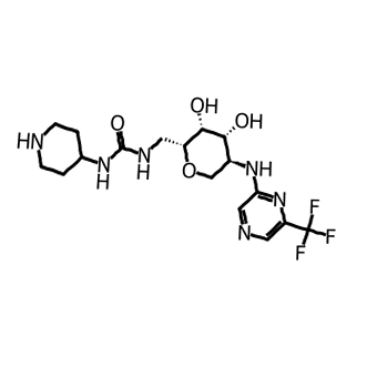 O=C(NC[C@H]1OC[C@H](Nc2cncc(C(F)(F)F)n2)[C@@H](O)[C@H]1O)NC1CCNCC1